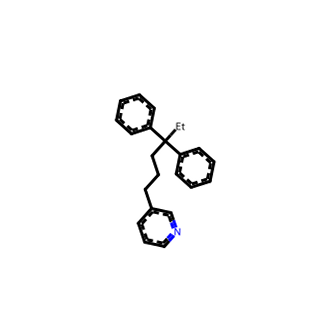 [CH2]CC(CCCc1cccnc1)(c1ccccc1)c1ccccc1